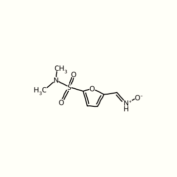 CN(C)S(=O)(=O)c1ccc(C=[NH+][O-])o1